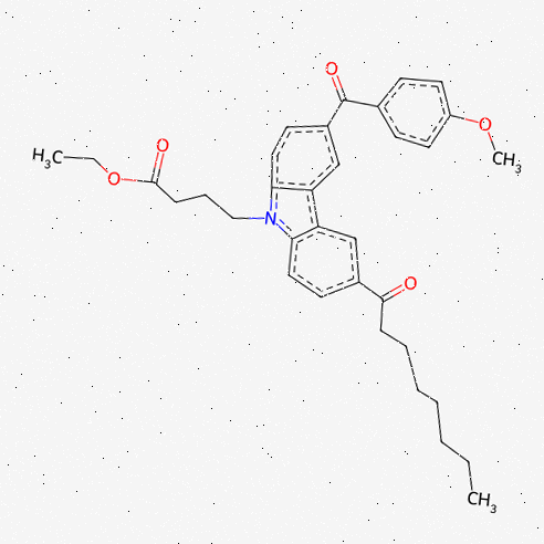 CCCCCCCC(=O)c1ccc2c(c1)c1cc(C(=O)c3ccc(OC)cc3)ccc1n2CCCC(=O)OCC